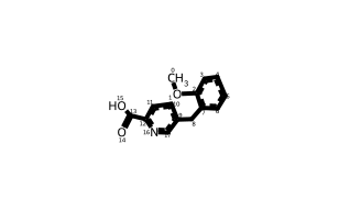 COc1ccccc1Cc1ccc(C(=O)O)nc1